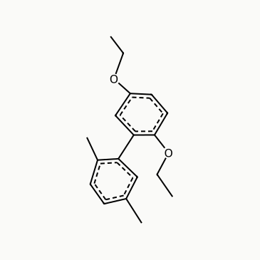 CCOc1ccc(OCC)c(-c2cc(C)ccc2C)c1